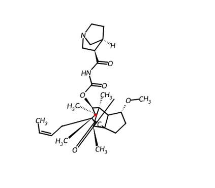 C/C=C\C[C@]1(C)C[C@@H](OC(=O)NC(=O)[C@H]2CN3CC[C@@H]2C3)[C@@]2(C)C3[C@H](OC)CCC3(CC[C@H]2C)[C@@H](C)C1=O